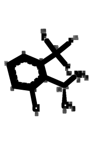 C[C@@H](N)c1c(Cl)cccc1C(F)(F)F